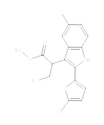 CCC(C(=O)OC)c1c(-c2ccc(Cl)s2)[nH]c2ccc(I)cc12